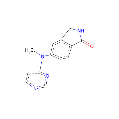 CN(c1ccc2c(c1)CNC2=O)c1ccncn1